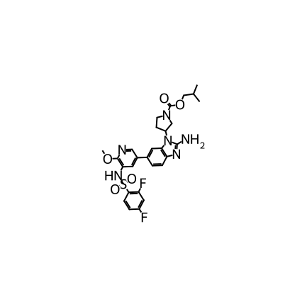 COc1ncc(-c2ccc3nc(N)n(C4CCN(C(=O)OCC(C)C)C4)c3c2)cc1NS(=O)(=O)c1ccc(F)cc1F